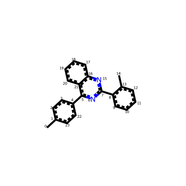 Cc1ccc(-c2nc(-c3ccccc3C)nc3ccccc23)cc1